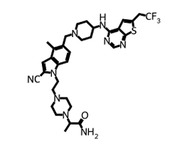 Cc1c(CN2CCC(Nc3ncnc4sc(CC(F)(F)F)cc34)CC2)ccc2c1cc(C#N)n2CCN1CCN(C(C)C(N)=O)CC1